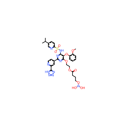 COc1ccccc1Oc1c(NS(=O)(=O)c2ccc(C(C)C)cn2)nc(-c2ccnc(-c3nnn[nH]3)c2)nc1OCCOC(=O)CCCON(O)O